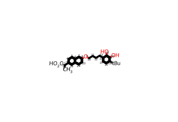 C[C@H](C(=O)O)c1ccc2cc(OCCCCc3ccc(C(C)(C)C)c(O)c3O)ccc2c1